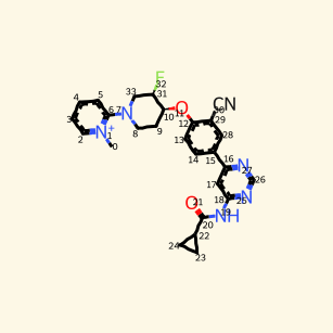 C[n+]1ccccc1N1CC[C@H](Oc2ccc(-c3cc(NC(=O)C4CC4)ncn3)cc2C#N)[C@H](F)C1